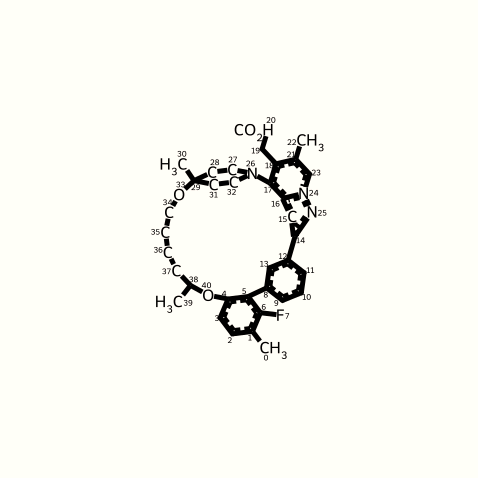 Cc1ccc2c(c1F)-c1cccc(c1)-c1cc3c(c(CC(=O)O)c(C)cn3n1)N1CCC(C)(CC1)OCCCCC(C)O2